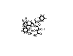 O=C(OC1=CC[C@@]2(O)[C@@H]3CCC[C@@]24c2c(ccc(O)c2O[C@@H]14)C3)[C@@H](OC(=O)[C@H](O)[C@@H](O)C(=O)O)c1ccccc1